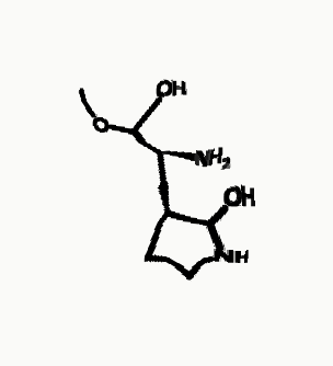 COC(O)[C@@H](N)C[C@@H]1CCNC1O